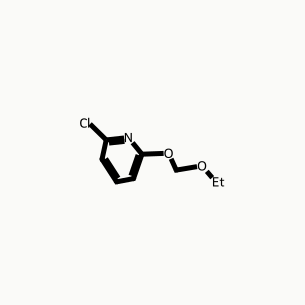 CCOCOc1cccc(Cl)n1